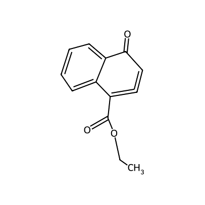 CCOC(=O)C1=C=CC(=O)c2ccccc21